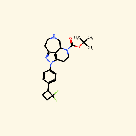 CC(C)(C)OC(=O)N1CCc2c3c(nn2-c2ccc(C4CCC4(F)F)cc2)CCNCC31